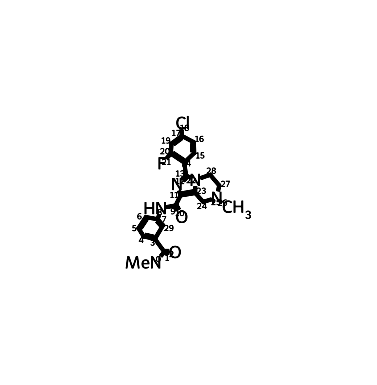 CNC(=O)c1cccc(NC(=O)c2nc(-c3ccc(Cl)cc3F)n3c2CN(C)CC3)c1